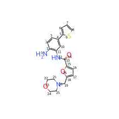 Nc1ccc(-c2cccs2)cc1NC(=O)c1ccc(CN2CCOCC2)o1